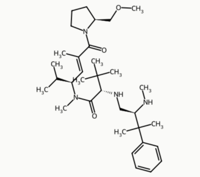 CN[C@H](CN[C@H](C(=O)N(C)[C@H](/C=C(\C)C(=O)N1CCC[C@H]1COC)C(C)C)C(C)(C)C)C(C)(C)c1ccccc1